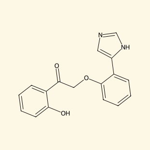 O=C(COc1ccccc1-c1cnc[nH]1)c1ccccc1O